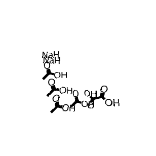 CC(=O)O.CC(=O)O.CC(=O)O.CC(=O)O.O=C(O)C(=O)O.[NaH].[NaH]